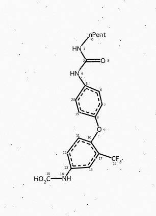 CCCCCNC(=O)Nc1ccc(Oc2ccc(NC(=O)O)cc2C(F)(F)F)cc1